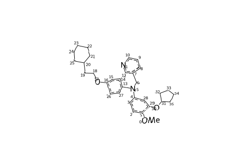 COc1ccc(N(Cc2cccnc2)c2ccc(OCCC3CCCCC3)cc2)cc1OC1CCCC1